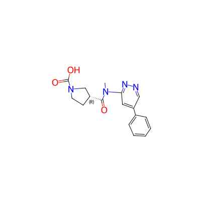 CN(C(=O)[C@@H]1CCN(C(=O)O)C1)c1cc(-c2ccccc2)cnn1